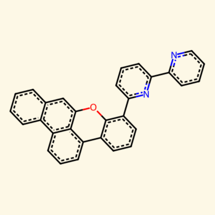 c1ccc(-c2cccc(-c3cccc4c3Oc3cc5ccccc5c5cccc-4c35)n2)nc1